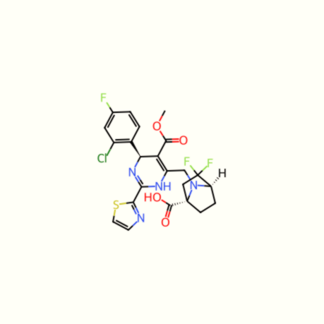 COC(=O)C1=C(CN2[C@@H]3CC[C@@]2(C(=O)O)CC3(F)F)NC(c2nccs2)=N[C@H]1c1ccc(F)cc1Cl